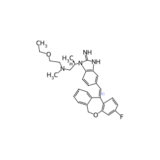 CCOCCN(C)C[C@@H](C)n1c(=N)[nH]c2cc(/C=C3\c4ccccc4COc4cc(F)ccc43)ccc21